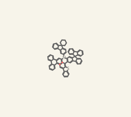 c1ccc2c(c1)-c1cc(N(c3ccc4c5ccccc5c5ccccc5c4c3)c3cc4c(cc3-c3cccc5c3sc3ccccc35)-c3ccccc3C43c4ccccc4-c4ccccc43)ccc1C21CCCCC1